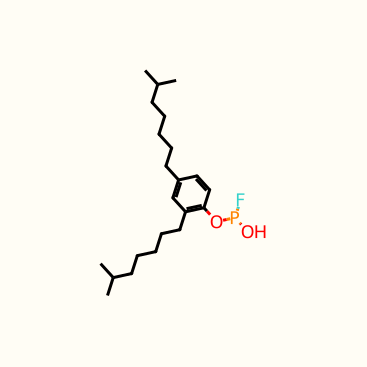 CC(C)CCCCCc1ccc(OP(O)F)c(CCCCCC(C)C)c1